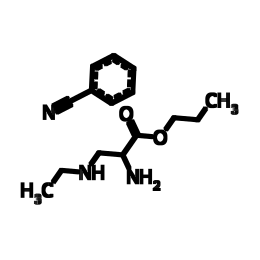 CCCOC(=O)C(N)CNCC.N#Cc1ccccc1